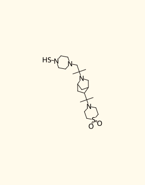 CC(C)(CN1CCN(S)CC1)N1CC2CC1CC2C(C)(C)N1CCS(=O)(=O)CC1